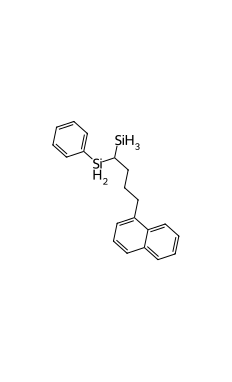 [SiH3]C(CCCc1cccc2ccccc12)[SiH2]c1ccccc1